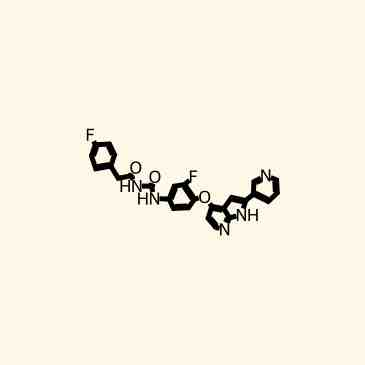 O=C(Cc1ccc(F)cc1)NC(=O)Nc1ccc(Oc2ccnc3[nH]c(-c4cccnc4)cc23)c(F)c1